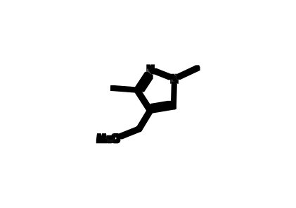 COCc1cn(C)nc1C